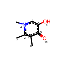 Cc1c(C)n(C)cc(O)c1=O